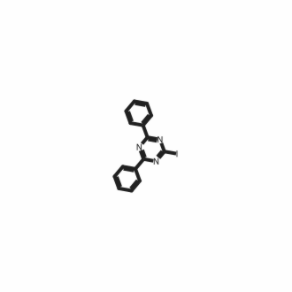 Ic1nc(-c2ccccc2)nc(-c2ccccc2)n1